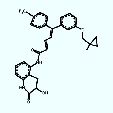 CC1(COc2cccc(C(=CC=CC(=O)Nc3cccc4c3CC(O)C(=O)N4)c3ccc(C(F)(F)F)cc3)c2)CC1